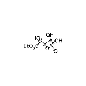 CCOC(=O)[C@@H](O)[C@H]1OC(=O)[C@H](O)[C@H]1O